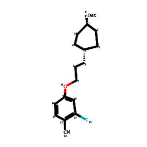 CCCCCCCCCC[C@H]1CC[C@H](CCCOc2ccc(C#N)c(F)c2)CC1